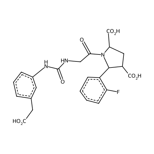 O=C(O)Cc1cccc(NC(=O)NCC(=O)N2C(C(=O)O)CC(C(=O)O)C2c2ccccc2F)c1